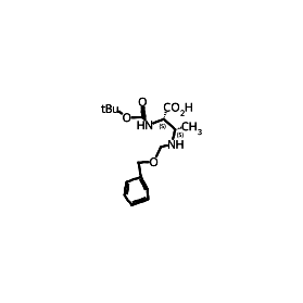 C[C@H](NCOCc1ccccc1)[C@H](NC(=O)OC(C)(C)C)C(=O)O